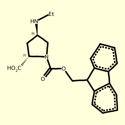 CCN[C@@H]1C[C@@H](C(=O)O)N(C(=O)OCC2c3ccccc3-c3ccccc32)C1